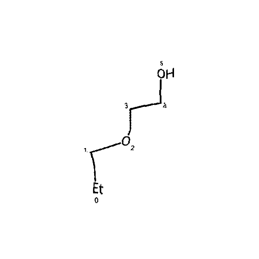 CCCOC[CH]O